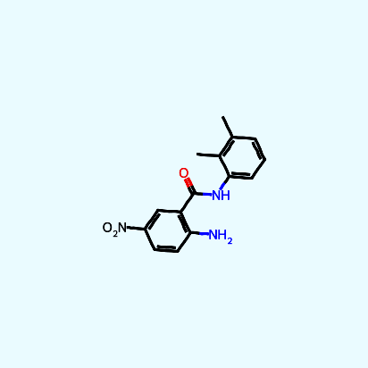 Cc1cccc(NC(=O)c2cc([N+](=O)[O-])ccc2N)c1C